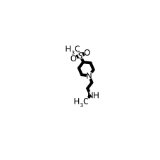 CNCCN1CCC(S(C)(=O)=O)CC1